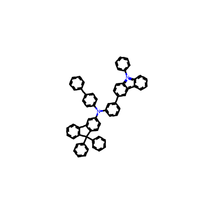 c1ccc(-c2ccc(N(c3cccc(-c4ccc5c(c4)c4ccccc4n5-c4ccccc4)c3)c3ccc4c(c3)-c3ccccc3C4(c3ccccc3)c3ccccc3)cc2)cc1